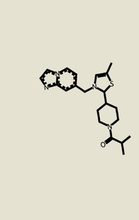 CC1=CN(Cc2ccn3ccnc3c2)C(C2CCN(C(=O)C(C)C)CC2)S1